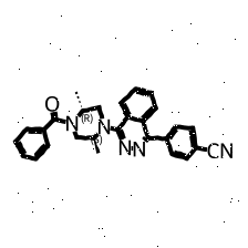 C[C@@H]1CN(c2nnc(-c3ccc(C#N)cc3)c3ccccc23)[C@@H](C)CN1C(=O)c1ccccc1